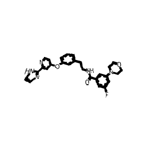 O=C(NCCc1cccc(Oc2ccnc(C3=NCCN3)c2)c1)c1cc(F)cc(N2CCOCC2)c1